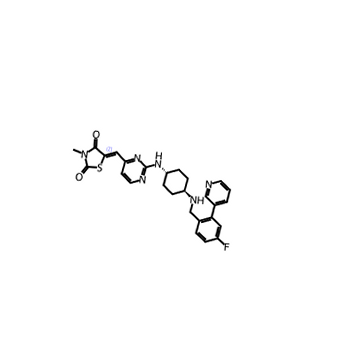 CN1C(=O)S/C(=C\c2ccnc(N[C@H]3CC[C@H](NCc4ccc(F)cc4-c4cccnc4)CC3)n2)C1=O